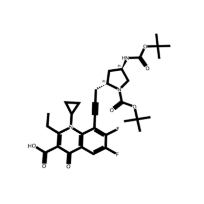 CCc1c(C(=O)O)c(=O)c2cc(F)c(F)c(C#CC[C@@H]3C[C@@H](NC(=O)OC(C)(C)C)CN3C(=O)OC(C)(C)C)c2n1C1CC1